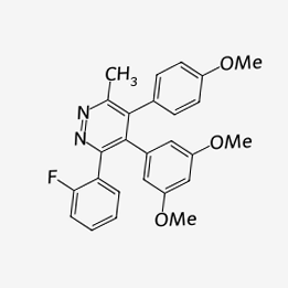 COc1ccc(-c2c(C)nnc(-c3ccccc3F)c2-c2cc(OC)cc(OC)c2)cc1